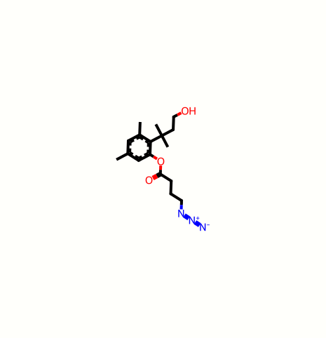 Cc1cc(C)c(C(C)(C)CCO)c(OC(=O)CCCN=[N+]=[N-])c1